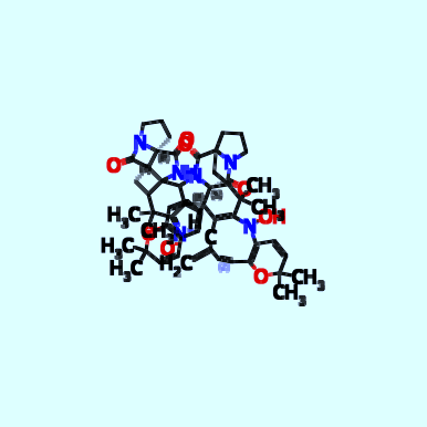 C=C1/C=C\C2=C(C=CC(C)(C)O2)N(O)C2=C(C1)[C@@H]1C34C(=[N+]([O-])c5c3ccc3c5C=CC(C)(C)O3)C(C)(C)C3C[C@]56C(=O)N7CCC[C@@]75C(=O)NC36C4N3C(=O)C45CCCN4C(=O)[C@]13C(C5)C2(C)C